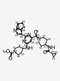 COC(=O)N1CCC(Nc2cc(C(=O)N3CCC(NC(=O)C4CC4)CC3)nc(-c3cnn4ccsc34)n2)CC1